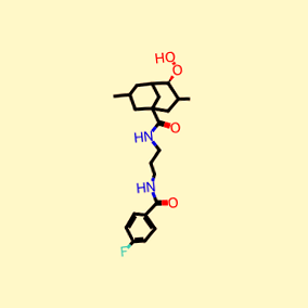 CC1CC2CC(C(=O)NCCCNC(=O)c3ccc(F)cc3)(C1)CC(C)[C@@H]2OO